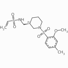 C=CS(=O)(=O)NC[C@H]1CCCN(S(=O)(=O)c2ccc(C)cc2OC)C1